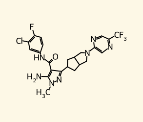 Cn1nc(C2CC3CN(c4cnc(C(F)(F)F)cn4)CC3C2)c(C(=O)Nc2ccc(F)c(Cl)c2)c1N